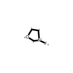 FN1CCOC1